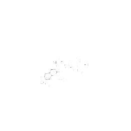 C[C@]12CCC3C(CC[C@H]4C[C@@]5(CC[C@]34C)NCCc3c5c(=O)oc4c5c6c(cc34)CCCN6CCC5)C1CC[C@@H]2O.Cl